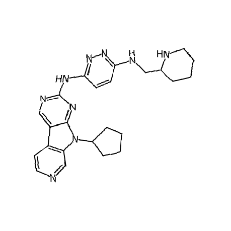 c1cc2c3cnc(Nc4ccc(NCC5CCCCN5)nn4)nc3n(C3CCCC3)c2cn1